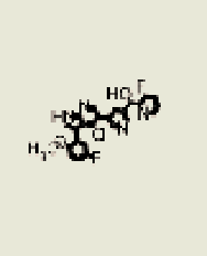 COc1ccc(F)cc1-c1c[nH]c2ncc(-c3cncc(C(O)c4ncccc4F)c3)c(Cl)c12